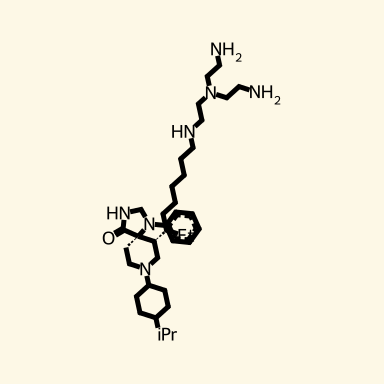 CCC(CCCCCCNCCN(CCN)CCN)[C@@H]1CN(C2CCC(C(C)C)CC2)CC[C@@]12C(=O)NCN2c1ccccc1